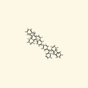 c1ccc(N(c2ccc(-c3ccc4c(ccc5c6oc7ccccc7c6c6ccccc6c45)c3)cc2)c2cccc3c2oc2ccccc23)cc1